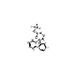 C[Si](C)(C)OC1CCC[Si](c2ccccc2)(c2ccccc2)O1